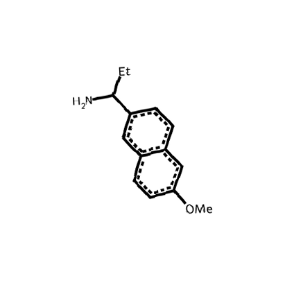 CCC(N)c1ccc2cc(OC)ccc2c1